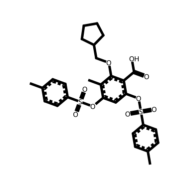 Cc1ccc(S(=O)(=O)Oc2cc(OS(=O)(=O)c3ccc(C)cc3)c(C(=O)O)c(OCC3CCCC3)c2C)cc1